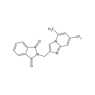 Cc1cc(C(F)(F)F)cc2nc(CN3C(=O)c4ccccc4C3=O)cn12